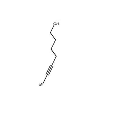 OCCCCC#CBr